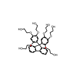 OCCOc1cc(OCCO)c(C2(c3cc(OCCO)c(OCCO)cc3OCCO)c3ccccc3-c3ccccc32)cc1OCCO